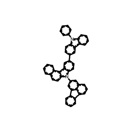 c1ccc(-n2c3ccccc3c3cc(-c4ccc5c(c4)c4c6ccccc6ccc4n5-c4cc5c6c(cccc6c4)-c4ccccc4-5)ccc32)cc1